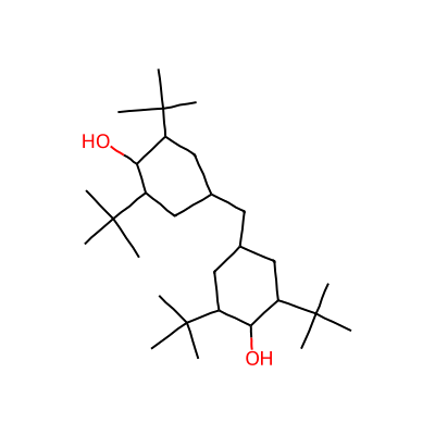 CC(C)(C)C1CC(CC2CC(C(C)(C)C)C(O)C(C(C)(C)C)C2)CC(C(C)(C)C)C1O